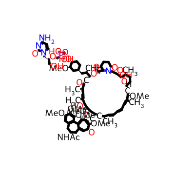 CO[C@H]1C[C@@H]2CC[C@@H](C)[C@@](O)(O2)C(=O)C(=O)N2CCCC[C@H]2C(=O)O[C@H]([C@H](C)C[C@@H]2CC[C@@H](O)[C@H](OC)C2)CC(=O)[C@H](C)/C=C(\C)[C@@H](O)[C@@H](OC)C(=O)[C@H](C)C[C@H](C)/C=C/C=C/C=C/1C.COc1cc2c(c(OC)c1OC)-c1ccc(OC)c(=O)cc1[C@@H](NC(C)=O)CC2.Nc1ccn(C[C@@H](CO)OCP(=O)(O)O)c(=O)n1